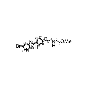 COCCNCCOc1ccc(-c2nc3cc(Br)cnc3[nH]2)cc1